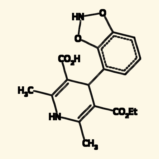 CCOC(=O)C1=C(C)NC(C)=C(C(=O)O)C1c1cccc2c1ONO2